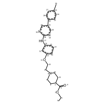 CCOC(=O)C1CCN(CCOc2cccc(Nc3ncc(-c4ccc(C)cc4)cn3)c2)CC1